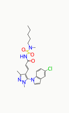 CCCCCN(C)S(=O)(=O)NC(=O)C=Cc1c(C)nn(C)c1-n1ccc2cc(Cl)ccc21